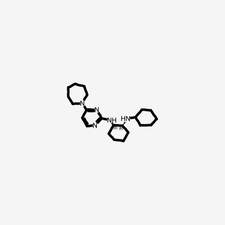 c1cc(N2CCCCCC2)nc(N[C@@H]2CCCC[C@H]2NC2CCCCC2)n1